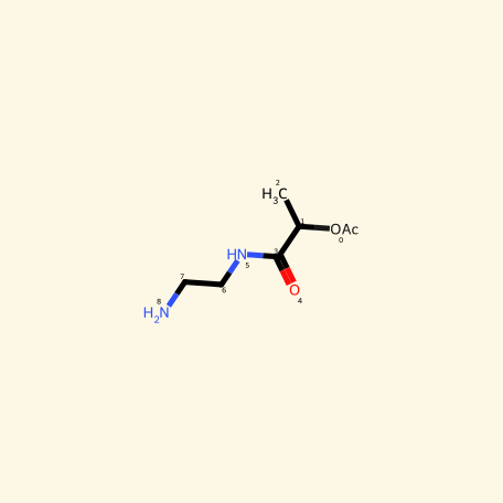 CC(=O)OC(C)C(=O)NCCN